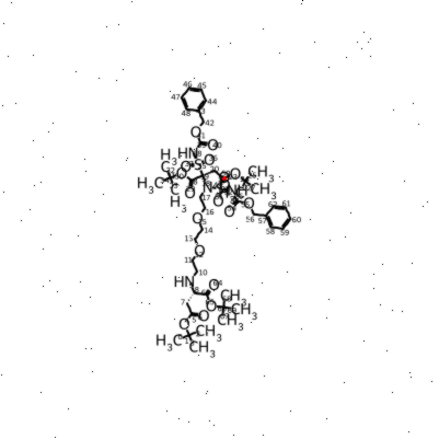 CC(C)(C)OC(=O)C[C@H](NCCOCCOCCN([C@](CC(=O)OC(C)(C)C)(C(=O)OC(C)(C)C)S(=O)(=O)NC(=O)OCc1ccccc1)S(=O)(=O)NC(=O)OCc1ccccc1)C(=O)OC(C)(C)C